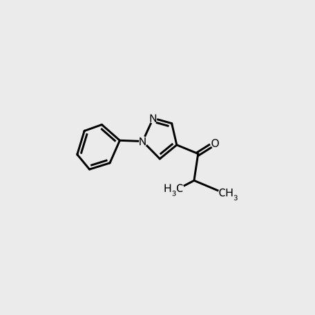 CC(C)C(=O)c1cnn(-c2ccccc2)c1